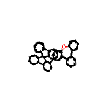 c1ccc2c(c1)Oc1ccc(-c3cccc4c3C3(c5ccccc5-c5ccccc53)c3ccccc3-4)cc1-c1ccccc1-2